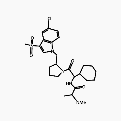 CNC(C)C(=O)NC(C(=O)N1CCCC1Cn1cc(S(C)(=O)=O)c2cc(Cl)ccc21)C1CCCCC1